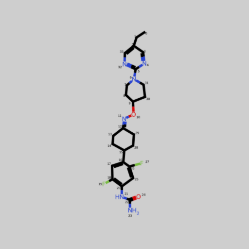 CCc1cnc(N2CCC(ON=C3CCC(c4cc(F)c(NC(N)=O)cc4F)CC3)CC2)nc1